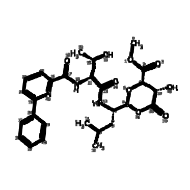 COC(=O)[C@@H]1OB([C@H](CC(C)C)NC(=O)[C@@H](NC(=O)c2cccc(-c3ccccc3)n2)[C@@H](C)O)OC(=O)[C@H]1O